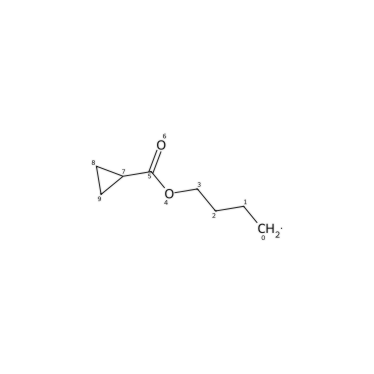 [CH2]CCCOC(=O)C1CC1